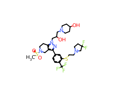 CS(=O)(=O)N1CCc2c(c(-c3ccc(C(F)(F)F)c(SCCN4CCC(F)(F)C4)c3)nn2CC(O)CN2CCC(O)CC2)C1